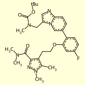 Cc1c(CCOc2cc(F)ccc2-c2ccc3ncc(CN(C)C(=O)OC(C)(C)C)n3c2)c(C(=O)N(C)C)nn1C